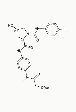 COCC(=O)N(C)c1ccc(NC(=O)[C@H]2C[C@@H](O)CN2C(=O)Nc2ccc(Cl)cc2)cc1